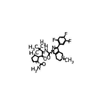 CN1CCc2c(c(-c3cc(F)c(F)cc3F)nn2C(=O)N[C@H](C(=O)C2CCC[C@H]2C(N)=O)C(C)(C)C)C1